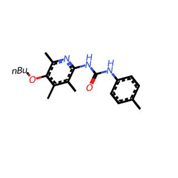 CCCCOc1c(C)nc(NC(=O)Nc2ccc(C)cc2)c(C)c1C